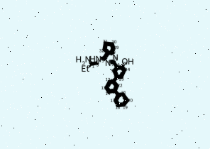 CC[C@@H](N)CNc1nc(-c2cc(-c3cccc(-c4ccccc4)c3)ccc2O)nc2ccccc12